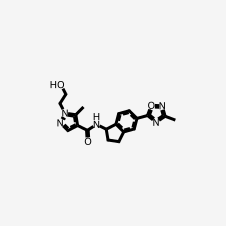 Cc1noc(-c2ccc3c(c2)CCC3NC(=O)c2cnn(CCO)c2C)n1